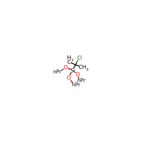 CCCO[Si](OCCC)(OCCC)C(C)(C)Cl